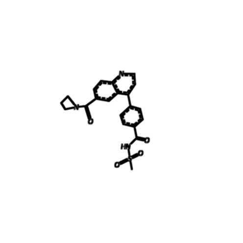 CS(=O)(=O)NC(=O)c1ccc(-c2ccnc3ccc(C(=O)N4CCC4)cc23)cc1